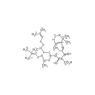 CC(C)=CCCC(C)CCC(CC(C)CCC=C(C)C)OC(=O)C(C(=O)O)C(=O)C=CC1=C(C)CCCC1(C)C